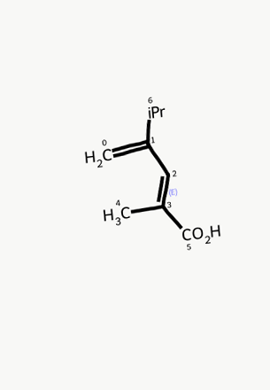 C=C(/C=C(\C)C(=O)O)C(C)C